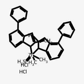 CC1=Cc2c(-c3ccccc3)cccc2[CH]1[Zr]([CH3])([CH3])(=[SiH2])[CH]1C(C(C)C)=Cc2c(-c3ccccc3)cccc21.Cl.Cl